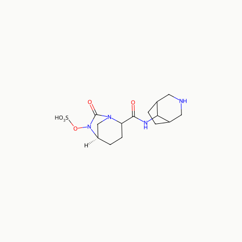 O=C(NC1C2CCC1CNC2)C1CC[C@@H]2CN1C(=O)N2OS(=O)(=O)O